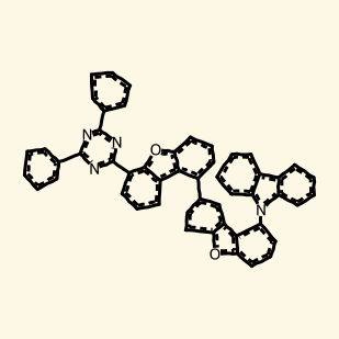 c1ccc(-c2nc(-c3ccccc3)nc(-c3cccc4c3oc3cccc(-c5ccc6oc7cccc(-n8c9ccccc9c9ccccc98)c7c6c5)c34)n2)cc1